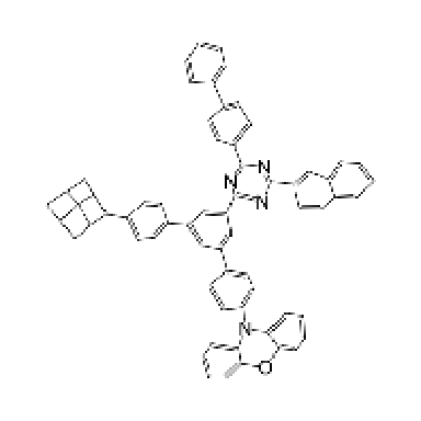 c1ccc(-c2ccc(-c3nc(-c4cc(-c5ccc(C6C7CC8CC9CC6C897)cc5)cc(-c5ccc(N6c7ccccc7Oc7ccccc76)cc5)c4)nc(-c4ccc5ccccc5c4)n3)cc2)cc1